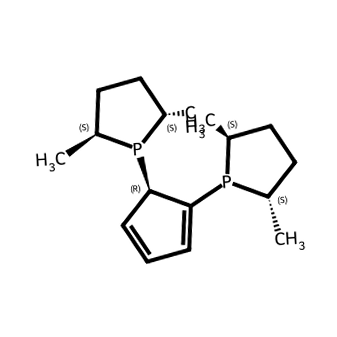 C[C@H]1CC[C@H](C)P1C1=CC=C[C@H]1P1[C@@H](C)CC[C@@H]1C